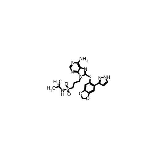 CC(C)NS(=O)(=O)CCCn1c(Sc2cc3c(cc2-c2cc[nH]n2)OCO3)nc2c(N)ncnc21